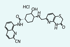 Cl.N#Cc1ccc2cccc(NC(=O)[C@H]3CC[C@H](NCc4ccc5c(n4)NC(=O)CS5)[C@H](O)C3)c2n1